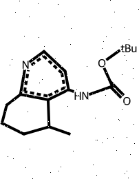 CC1CCCc2nccc(NC(=O)OC(C)(C)C)c21